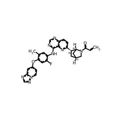 C=CC(=O)N1C[C@H]2C[C@@H]1[C@H](c1ccc3ncnc(Nc4cc(C)c(Oc5ccn6ncnc6c5)cc4F)c3n1)C2